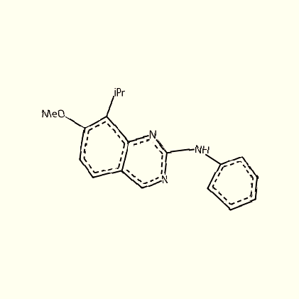 COc1ccc2cnc(Nc3ccccc3)nc2c1C(C)C